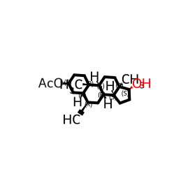 C#C[C@@H]1C[C@@H]2[C@H](CC[C@]3(C)[C@@H](O)CC[C@@H]23)[C@@]2(C)CC[C@H](OC(C)=O)C[C@H]12